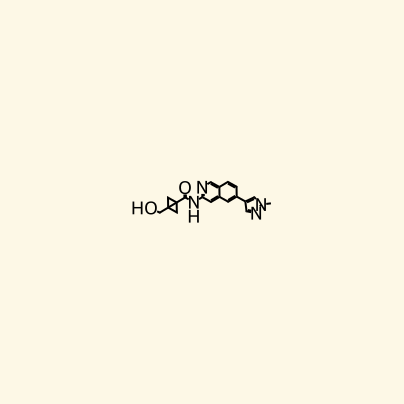 Cn1cc(-c2ccc3cnc(NC(=O)C45CC4(CO)C5)cc3c2)cn1